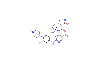 C=Cc1cnc(Nc2ccc(N3CCN(C)CC3)c(F)c2)nc1N(C(=O)C1CCNC1=O)C1(CC)CCC1